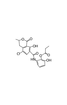 CCC(=O)Oc1c(O)cccc1NC(=O)c1cc(Cl)c2c(c1O)C(=O)OC(C)C2